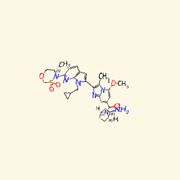 COc1cc(C(=O)N2[C@H]3CC[C@@H]2[C@H](N)C3)cc2nc(-c3cc4ccc(N5[C@@H](C)COCS5(=O)=O)nc4n3CC3CC3)c(C)n12